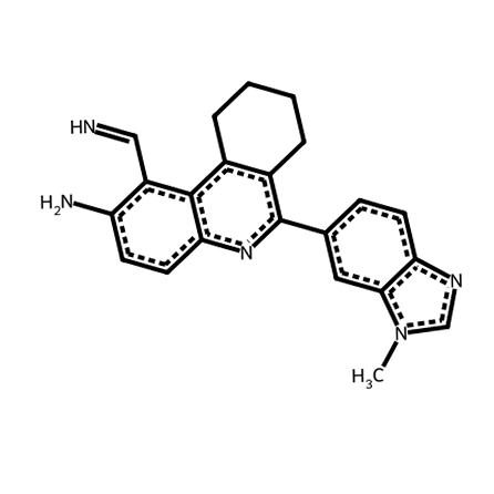 Cn1cnc2ccc(-c3nc4ccc(N)c(C=N)c4c4c3CCCC4)cc21